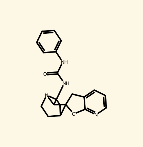 O=C(Nc1ccccc1)NC1N2CCC(CC2)C12Cc1cccnc1O2